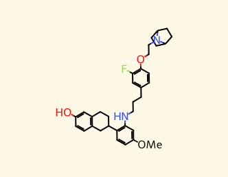 COc1ccc(C2CCc3cc(O)ccc3C2)c(NCCCc2ccc(OCCN3C4CCC3CC4)c(F)c2)c1